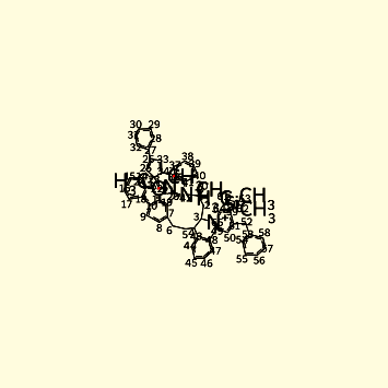 C=C1CC2C(CCc3ccc4c(oc5ccccc54)c3-c3n(C[C@]4(C)C=C(c5ccccc5)C=C4C)c4ccccc4[n+]31)c1ccccc1-c1cc(Cc3ccccc3)c([Si](C)(C)C)c[n+]12